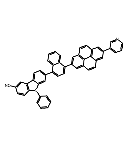 N#Cc1ccc2c(c1)c1ccc(-c3ccc(-c4cc5ccc6cc(-c7cccnc7)cc7ccc(c4)c5c67)c4ccccc34)cc1n2-c1ccccc1